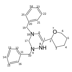 C1=C(C2CCCCO2)NN(Cc2ccccc2)CN1Cc1ccccc1